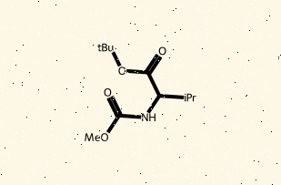 COC(=O)NC(C(=O)OC(C)(C)C)C(C)C